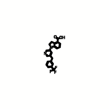 O=C(O)c1cccc2c1CCN2c1cncc(Cc2cccc(C(F)(F)F)c2)c1